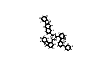 c1ccc(-c2cccc3c2oc2cccc(-c4nc(-c5ccc6cc7c(cc6c5)oc5ccccc57)nc(-c5cccc6sc7ccccc7c56)n4)c23)cc1